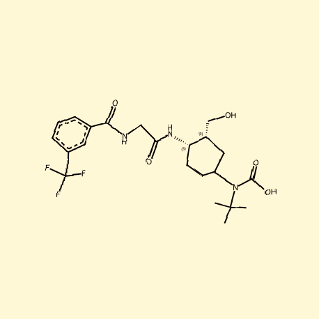 CC(C)(C)N(C(=O)O)C1CC[C@H](NC(=O)CNC(=O)c2cccc(C(F)(F)F)c2)[C@H](CO)C1